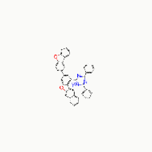 c1ccc(C2=NC(c3cc(-c4ccc5oc6ccccc6c5c4)cc4oc5cc6ccccc6cc5c34)NC(c3ccccc3)=N2)cc1